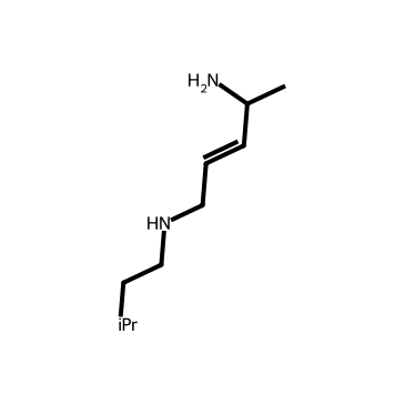 CC(N)/C=C/CNCCC(C)C